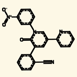 N#Cc1ccccc1-c1cc(-c2ccccn2)cn(-c2cccc([N+](=O)[O-])c2)c1=O